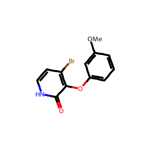 COc1cccc(Oc2c(Br)cc[nH]c2=O)c1